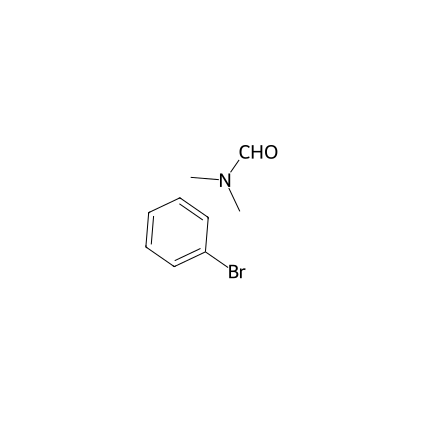 Brc1ccccc1.CN(C)C=O